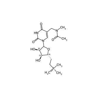 C=P(C)(C)CC[C@H]1OC(n2cc(CN(C)C(C)=O)c(=O)[nH]c2=O)[C@H](O)[C@@H]1O